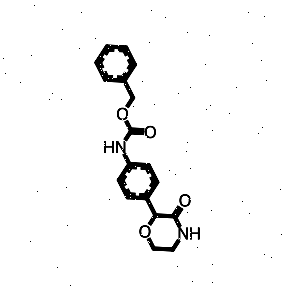 O=C(Nc1ccc(C2OCCNC2=O)cc1)OCc1ccccc1